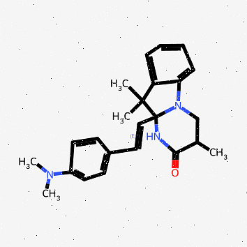 CC1CN2c3ccccc3C(C)(C)C2(/C=C/c2ccc(N(C)C)cc2)NC1=O